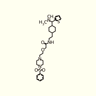 CN(C)C(c1cccs1)C1CCC(CCNC(=O)COCCN2CCN(S(=O)(=O)c3ccccc3)CC2)CC1